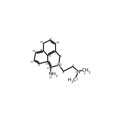 CN(C)CCN1CC2=c3c(cccc3=C1N)CC=C2